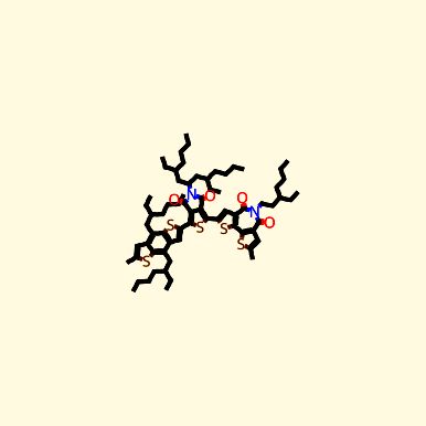 CCCCC(CC)CCn1c(=O)c2cc(C)sc2c2sc(-c3sc(-c4cc5c(CC(CC)CCCC)c6sc(C)cc6c(CC(CC)CCCC)c5s4)c4c3C(=O)N(C(CC(CC)CCCC)CC(CC)CCCC)C4=O)cc2c1=O